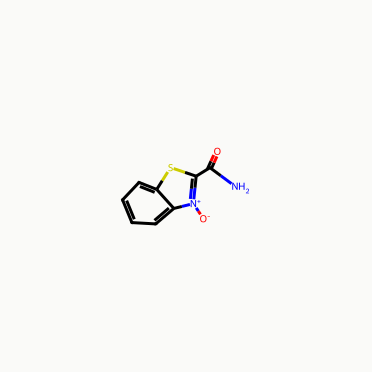 NC(=O)c1sc2ccccc2[n+]1[O-]